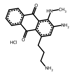 CNc1c(N)cc(CCCN)c2c1C(=O)c1ccccc1C2=O.Cl